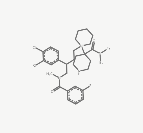 CCN(CC)C(=O)C1([N+]2(CCC(CN(C)C(=O)c3cccc(F)c3)c3ccc(Cl)c(Cl)c3)CCCCC2)CCNCC1